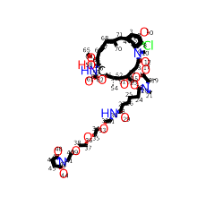 COc1cc2cc(c1Cl)N(C)C(=O)C[C@H](OC(=O)[C@H](C)N(C)C(=O)CCCCC(=O)NCCOCCOCCOCCN1C(=O)C=CC1=O)C1(C)OC1[C@H](C)C1C[C@@](O)(NC(=O)O1)[C@H](OC)/C=C/C=C(\C)C2